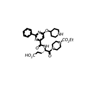 CCOC(=O)N1CCN(C(=O)[C@H](CCC(=O)O)NC(=O)c2cc(OC3CCNCC3)nc(-c3ccccc3)n2)CC1